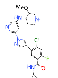 COC1CN(C)CCC1Nc1cncc(-n2cc(-c3cc(C(=O)NC4CC4)c(F)cc3Cl)cn2)c1